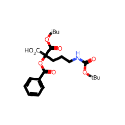 CCC(C)OC(=O)C(CCCNC(=O)OC(C)(C)C)(OC(=O)c1ccccc1)C(=O)O